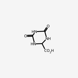 O=C1NC(=O)NC(C(=O)O)N1